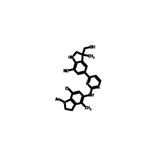 CC(=O)N1CCc2c(C)c(Nc3nccc(-c4cc(C#N)c5c(c4)C(C)(CO)CN5)n3)cc(Cl)c21